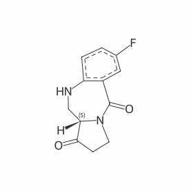 O=C1CCN2C(=O)c3cc(F)ccc3NC[C@@H]12